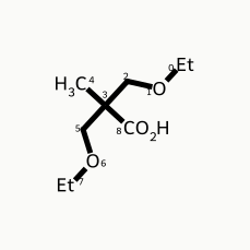 CCOCC(C)(COCC)C(=O)O